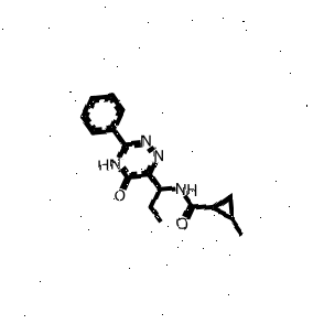 CCC(NC(=O)C1CC1C)c1nnc(-c2ccccc2)[nH]c1=O